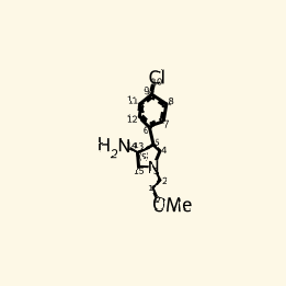 COCCN1CC(c2ccc(Cl)cc2)[C@H](N)C1